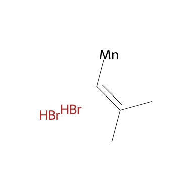 Br.Br.CC(C)=[CH][Mn]